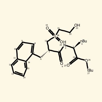 CCCC[C@H](NC(=O)[C@H](Cc1cccc2ccccc12)CS(=O)(=O)CCO)C(=O)OC(C)(C)C